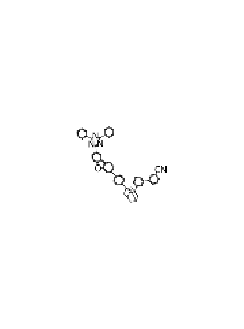 N#Cc1cccc(-c2cccc(C34CC5CC(CC(c6ccc(-c7ccc8c(c7)oc7ccc(-c9nc(-c%10ccccc%10)nc(-c%10ccccc%10)n9)cc78)cc6)(C5)C3)C4)c2)c1